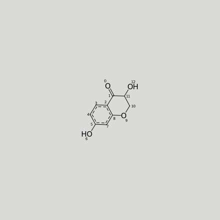 O=C1c2ccc(O)cc2OCC1O